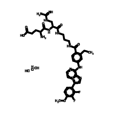 CCc1cc(Nc2nccn3c(-c4ccc(OC)c(F)c4F)cnc23)ccc1C(=O)NCCCNC(=O)C(CNC(=N)N)NC(=O)C(N)CCC(=O)O.Cl.Cl.Cl